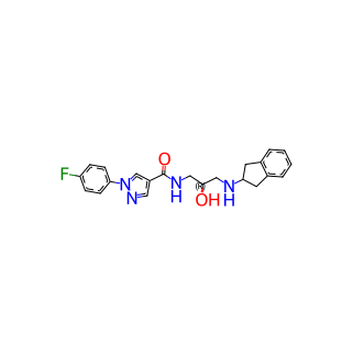 O=C(NC[C@H](O)CNC1Cc2ccccc2C1)c1cnn(-c2ccc(F)cc2)c1